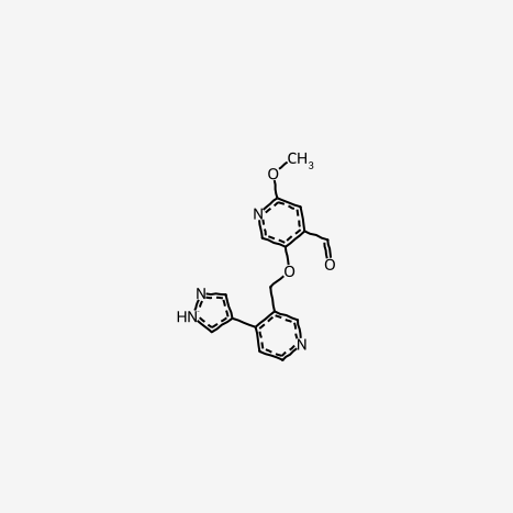 COc1cc(C=O)c(OCc2cnccc2-c2cn[nH]c2)cn1